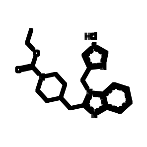 CCOC(=O)N1CCC(Cc2nc3ccccc3n2Cc2cscn2)CC1.Cl